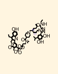 C=CC/C=C(\C=C/Cn1c(C(=O)NCC)nnc1-c1cc(C(C)C)c(O)cc1O)CN1CCC(C(=O)N(C)CCC(=O)OC2(CC)C(=O)OCc3c2cc2n(c3=O)Cc3c-2nc2ccc(O)cc2c3CC)CC1